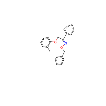 Cc1ccccc1OCC(=NOCc1ccccc1)c1ccccc1